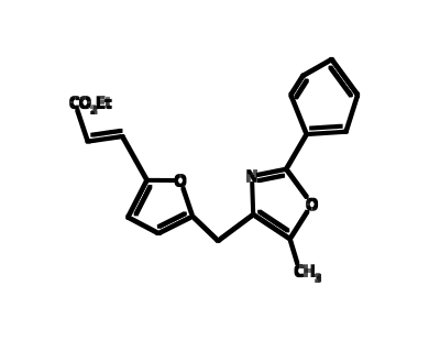 CCOC(=O)/C=C/c1ccc(Cc2nc(-c3ccccc3)oc2C)o1